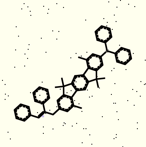 Cc1cc(C/C(=C/c2ccccc2)c2ccccc2)cc2c1-c1cc3c(cc1C2(C)C)-c1c(C)cc(N(c2ccccc2)c2ccccc2)cc1C3(C)C